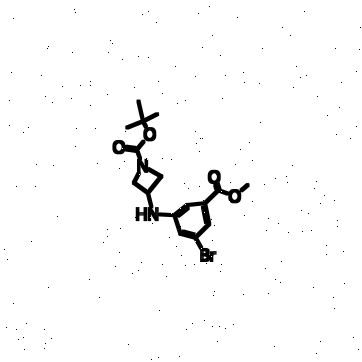 COC(=O)c1cc(Br)cc(NC2CN(C(=O)OC(C)(C)C)C2)c1